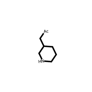 CC(=O)CC1CCCNC1